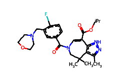 Cc1n[nH]c2c1C(C)(C)CN(C(=O)c1ccc(F)c(CN3CCOCC3)c1)C=C2C(=O)OC(C)C